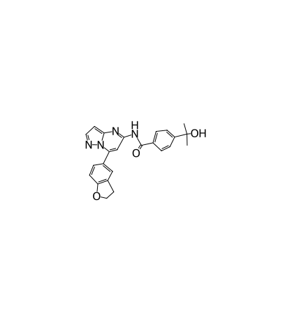 CC(C)(O)c1ccc(C(=O)Nc2cc(-c3ccc4c(c3)CCO4)n3nccc3n2)cc1